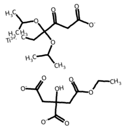 CCC(OC(C)C)(OC(C)C)C(=O)CC(=O)[O-].CCOC(=O)CC(O)(CC(=O)[O-])C(=O)[O-].[Ti+3]